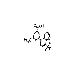 C[C@@H]1C[C@H](C(=O)O)CN(c2ccc(C(F)(F)F)c3ncccc23)C1